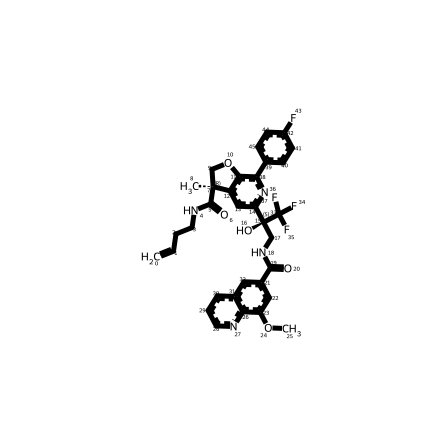 C=CCCNC(=O)[C@@]1(C)COc2c1cc([C@@](O)(CNC(=O)c1cc(OC)c3ncccc3c1)C(F)(F)F)nc2-c1ccc(F)cc1